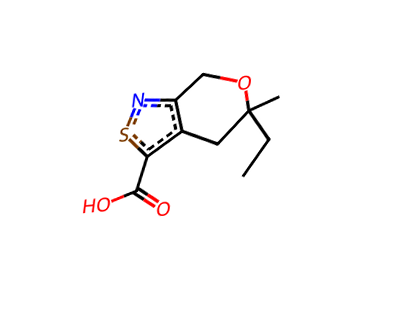 CCC1(C)Cc2c(nsc2C(=O)O)CO1